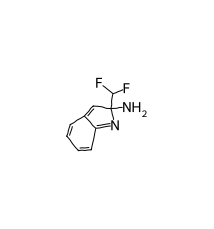 NC1(C(F)F)C=c2ccccc2=N1